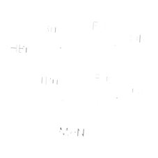 Br.CC(C)(C)C(C)(C)CCC(C)(O)C(F)(F)F.CC(C)(C)C(C)(C)CCC(C)(O)C(F)(F)F.CNC